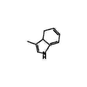 CC1=CNC2=CC=CCC12